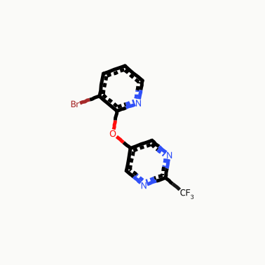 FC(F)(F)c1ncc(Oc2ncccc2Br)cn1